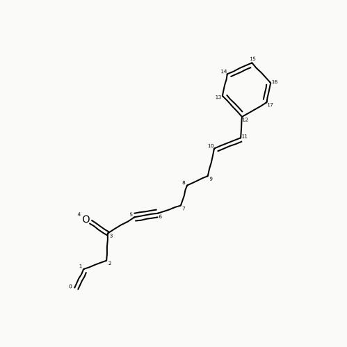 C=CCC(=O)C#CCCC/C=C/c1ccccc1